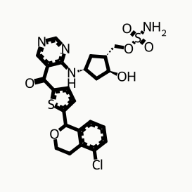 NS(=O)(=O)OC[C@H]1C[C@@H](Nc2ncncc2C(=O)c2ccc(C3OCCc4c(Cl)cccc43)s2)C[C@@H]1O